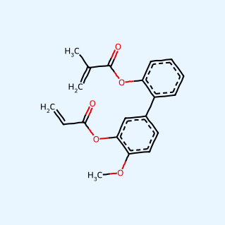 C=CC(=O)Oc1cc(-c2ccccc2OC(=O)C(=C)C)ccc1OC